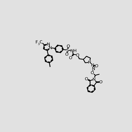 Cc1ccc(-c2cc(C(F)(F)F)nn2-c2ccc(S(=O)(=O)NC(=O)OCC3CCN(n4on4OC(C)N4C(=O)c5ccccc5C4=O)C3)cc2)cc1